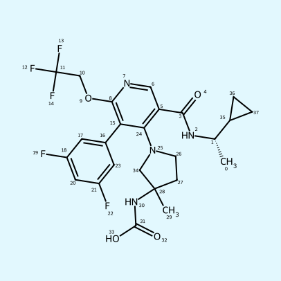 C[C@H](NC(=O)c1cnc(OCC(F)(F)F)c(-c2cc(F)cc(F)c2)c1N1CCC(C)(NC(=O)O)C1)C1CC1